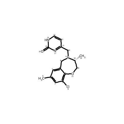 Cc1cc(Cl)c2c(c1)CN(Cc1cc[nH]c(=O)n1)[C@H](C)CO2